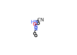 N#Cc1c[nH]c2c(C(=O)N3CCN(CCc4ccc5ccccc5c4)CC3)cccc12